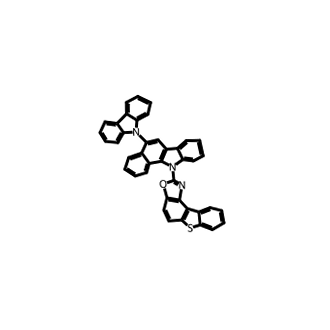 c1ccc2c(c1)sc1ccc3oc(-n4c5ccccc5c5cc(-n6c7ccccc7c7ccccc76)c6ccccc6c54)nc3c12